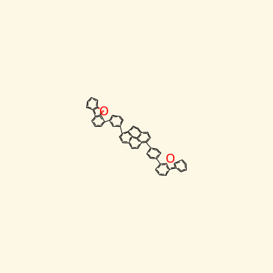 c1cc(-c2ccc3ccc4c(-c5ccc(-c6cccc7c6oc6ccccc67)cc5)ccc5ccc2c3c54)cc(-c2cccc3c2oc2ccccc23)c1